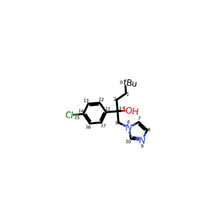 CC(C)(C)CCC(O)(Cn1ccnc1)c1ccc(Cl)cc1